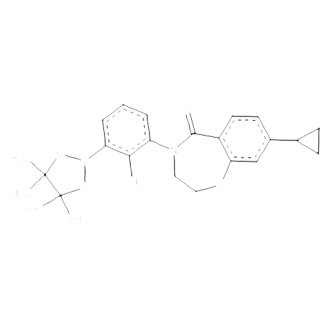 Cc1c(B2OC(C)(C)C(C)(C)O2)cccc1N1CCOc2cc(C3CC3)ccc2C1=O